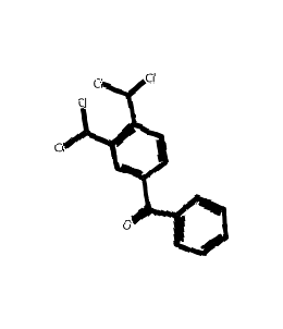 O=C(c1ccccc1)c1ccc(C(Cl)Cl)c(C(Cl)Cl)c1